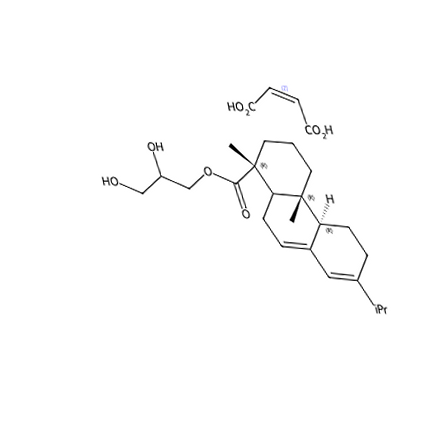 CC(C)C1=CC2=CCC3[C@](C)(C(=O)OCC(O)CO)CCC[C@]3(C)[C@H]2CC1.O=C(O)/C=C\C(=O)O